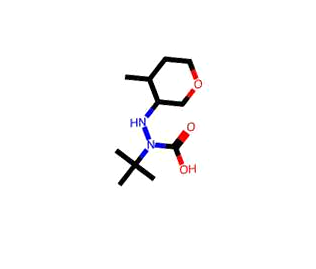 CC1CCOCC1NN(C(=O)O)C(C)(C)C